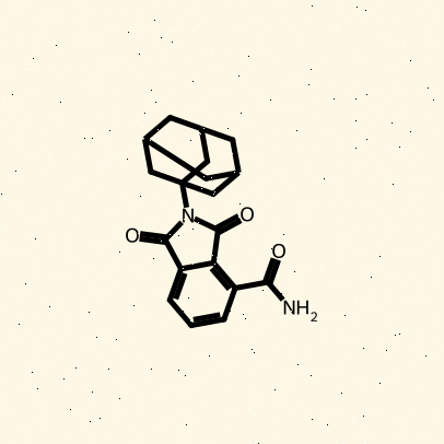 NC(=O)c1cccc2c1C(=O)N(C13CC4CC(CC(C4)C1)C3)C2=O